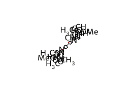 COC(=O)NC(C(=O)N1CCC[C@H]1c1nc(-c2ccc(-c3ccc(-c4c[nH]c([C@@H]5CC6C([C@@H]6C)N5C(=O)C(NC(=O)OC)[C@H]5C[C@@H](C)O[C@@H](C)C5)n4)cc3)cc2)c(Cl)[nH]1)C1C[C@@H](C)O[C@@H](C)C1